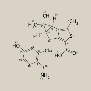 Cc1sc(C(=O)O)c2c1[C@H]1[C@@H](C2)C1(C)C.NCc1ccc(O)cc1Cl